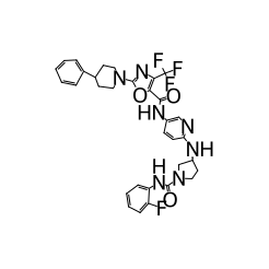 O=C(Nc1ccc(N[C@H]2CCN(C(=O)Nc3ccccc3F)C2)nc1)c1oc(N2CCC(c3ccccc3)CC2)nc1C(F)(F)F